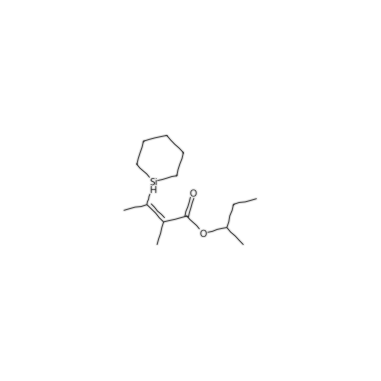 CCC(C)OC(=O)C(C)=C(C)[SiH]1CCCCC1